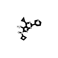 Nc1c([S+]([O-])C2CCC2)sc2nc(-c3cccnc3)nc(C3CC3)c12